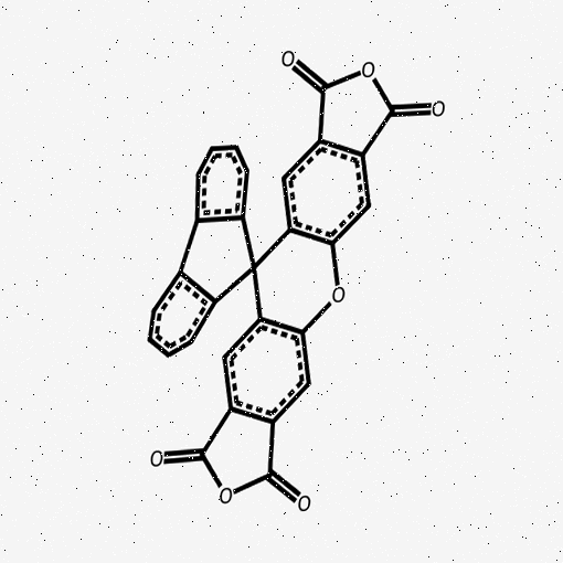 O=C1OC(=O)c2cc3c(cc21)Oc1cc2c(cc1C31c3ccccc3-c3ccccc31)C(=O)OC2=O